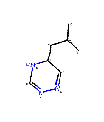 CC(C)CC1C=NN=CN1